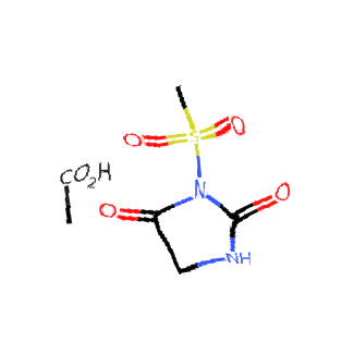 CC(=O)O.CS(=O)(=O)N1C(=O)CNC1=O